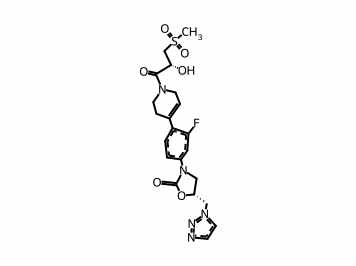 CS(=O)(=O)C[C@H](O)C(=O)N1CC=C(c2ccc(N3C[C@H](Cn4ccnn4)OC3=O)cc2F)CC1